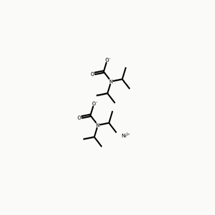 CC(C)N(C(=O)[O-])C(C)C.CC(C)N(C(=O)[O-])C(C)C.[Ni+2]